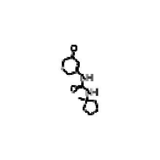 CC1(NC(=O)NC2=CC(=O)CCC2)CCCC1